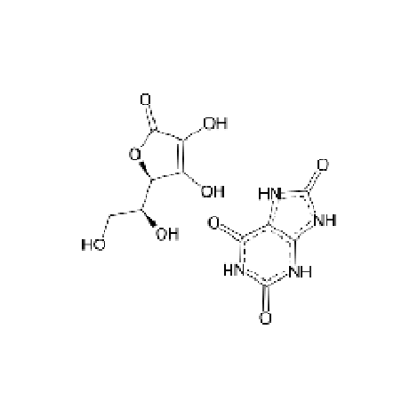 O=C1O[C@H]([C@@H](O)CO)C(O)=C1O.O=c1[nH]c(=O)c2[nH]c(=O)[nH]c2[nH]1